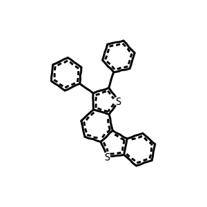 c1ccc(-c2sc3c(ccc4sc5ccccc5c43)c2-c2ccccc2)cc1